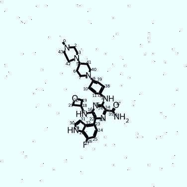 CN1CCN(C2CCN(c3ccc(Nc4nc(NC5COC5)c(-c5ccc(F)c6[nH]ccc56)nc4C(N)=O)cc3)CC2)CC1